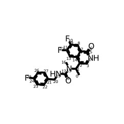 CC(c1c[nH]c(=O)c2cc(F)c(F)cc12)N(C)C(=O)NCc1ccc(F)cc1